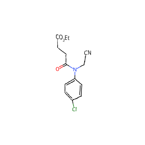 CCOC(=O)CCC(=O)N(CC#N)c1ccc(Cl)cc1